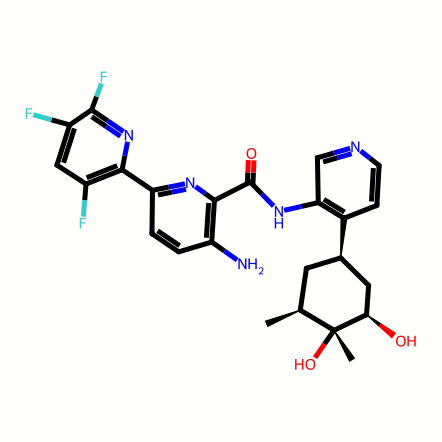 C[C@H]1C[C@@H](c2ccncc2NC(=O)c2nc(-c3nc(F)c(F)cc3F)ccc2N)C[C@@H](O)[C@]1(C)O